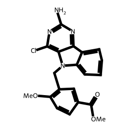 COC(=O)c1ccc(OC)c(Cn2c3ccccc3c3nc(N)nc(Cl)c32)c1